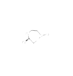 CN1CCNC(=N)CC1